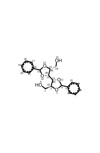 OC[C@@H]1OC(c2ccccc2)O[C@H]1[C@@H]1OC(c2ccccc2)O[C@@H]1CO